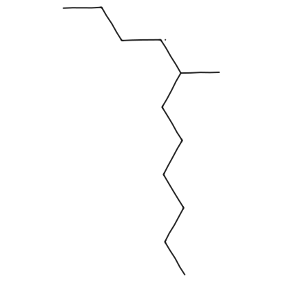 CCC[CH]C(C)CCCCCC